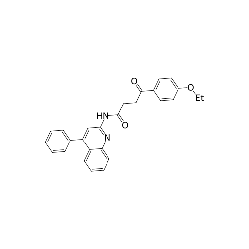 CCOc1ccc(C(=O)CCC(=O)Nc2cc(-c3ccccc3)c3ccccc3n2)cc1